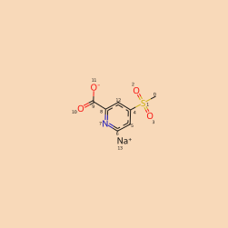 CS(=O)(=O)c1ccnc(C(=O)[O-])c1.[Na+]